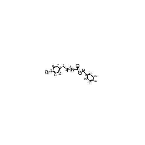 O=C(NCCCc1ccc(Br)cc1)OCc1ccccc1